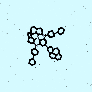 c1ccc(-c2ccc(N3c4cc(-c5cc6ccc7cccc8ccc(c5)c6c78)cc5c4B(c4c3ccc3ccccc43)c3c(ccc4ccccc34)N5c3ccc(-c4ccccc4)cc3)cc2)cc1